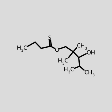 CCCC(=S)OCC(C)(C)C(O)C(C)C